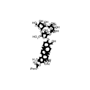 CCCC(C)C(=O)O[C@H]1[C@H](OC(C)=O)C2(CO)C(CC1(C)C)C1=CCC34CC35CCC(O[C@@H]3O[C@H](C(=O)O)C6OC7O[C@H](CO)[C@@H](O)[C@H](O)[C@H]7O[C@]7(CO)O[C@@H](OC3[C@H]6O)[C@H](O)[C@@H](O)C7O)C(CO)C5CCC43CC13C[C@H]2O